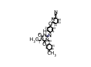 CCn1c(=O)[nH]/c(=N\c2ccc(Oc3cccc(C#N)n3)cc2)n(C[C@H]2CC[C@H](C)CC2)c1=O